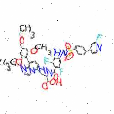 CCOCc1cc(OC)c(-c2ccc(CC(NC(=O)c3c(F)cc(NS(=O)(=O)c4ccc(-c5ccnc(F)c5)cc4)cc3F)C(=O)O)n3ccnc23)c(OC)c1